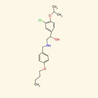 CCCCOc1ccc(CNCC(O)c2ccc(OC(C)C)c(Cl)c2)cc1